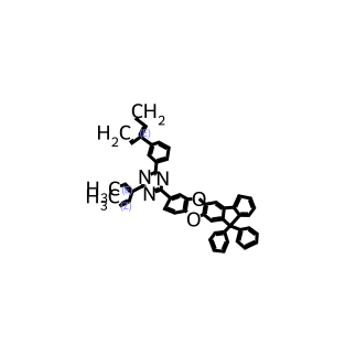 C=C/C=C(\C=C)c1cccc(-c2nc(C(/C=C\C)=C/C)nc(-c3ccc4c(c3)Oc3cc5c(cc3O4)C(c3ccccc3)(c3ccccc3)c3ccccc3-5)n2)c1